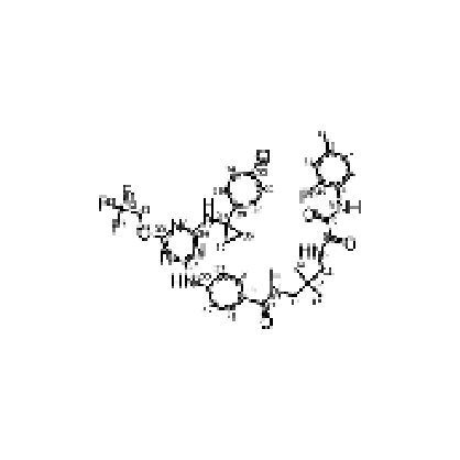 Cc1ccc(NC(=O)C(=O)NCC(C)(C)CNC(=O)c2ccc(Nc3nc(NC4(c5ccc(Cl)cc5)CC4)nc(OCC(F)(F)F)n3)cc2)c(F)c1